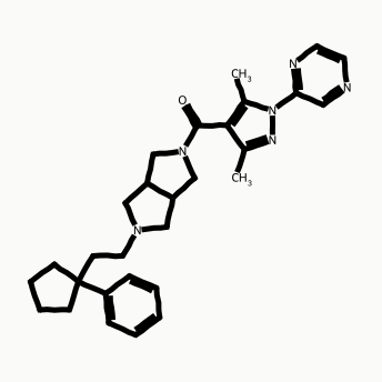 Cc1nn(-c2cnccn2)c(C)c1C(=O)N1CC2CN(CCC3(c4ccccc4)CCCC3)CC2C1